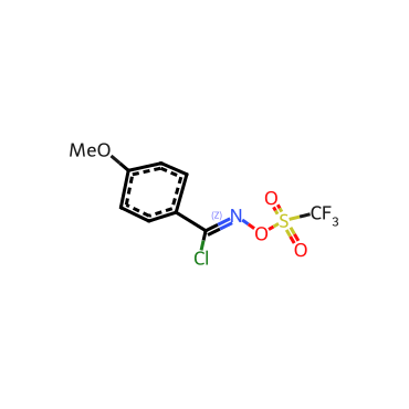 COc1ccc(/C(Cl)=N/OS(=O)(=O)C(F)(F)F)cc1